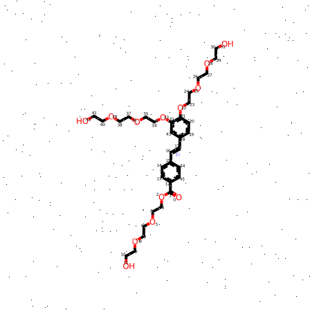 O=C(OCCOCCOCCO)c1ccc(/C=C/c2ccc(OCCOCCOCCO)c(OCCOCCOCCO)c2)cc1